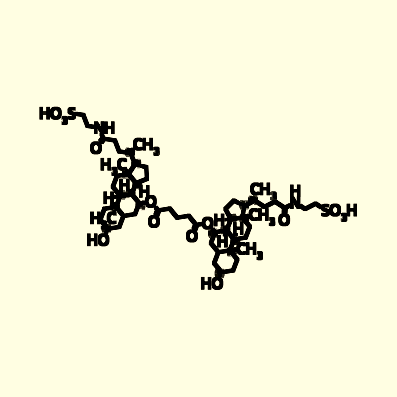 C[C@H](CCC(=O)NCCS(=O)(=O)O)[C@H]1CC[C@@H]2[C@@H]3[C@@H](CC[C@]21C)[C@]1(C)CC[C@H](O)CC1C[C@H]3OC(=O)CCCC(=O)O[C@@H]1CC2C[C@@H](O)CC[C@@]2(C)[C@@H]2CC[C@]3(C)[C@H](CC[C@H]3[C@H](C)CCC(=O)NCCS(=O)(=O)O)[C@H]21